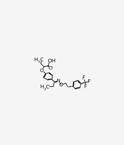 CC/C(=N\OCCc1ccc(C(F)(F)F)cc1)c1ccc(OC(CC)C(=O)O)cc1